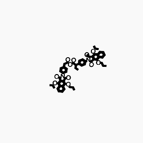 CCCOc1c2c(c(OC(C)C)c3ccccc13)C(=O)N(c1ccc(CC(=O)OC(=O)C(CC)c3ccc(N4C(=O)c5c(c(OC(C)C)c6ccccc6c5OCCC)C4=O)cc3)cc1)C2=O